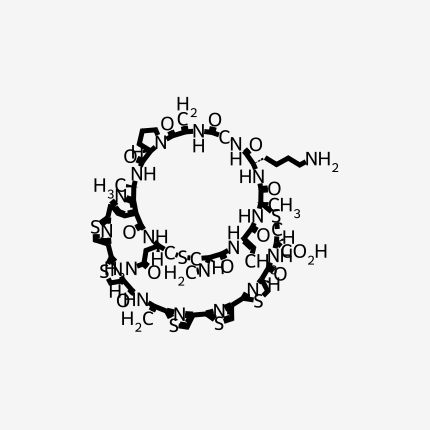 C=N[C@H]1CSC[C@H](CC(N)=O)NC(=O)c2ccc3nc2[C@@H](C)NC(=O)[C@@H]2CCCN2C(=O)C(=C)NC(=O)CNC(=O)[C@H](CCCCN)NC(=O)[C@@](C)(NC(=O)/C(=C/C)NC1=O)SC[C@@H](C(=O)O)NC(=O)[C@H]1CSC(=N1)c1csc(n1)-c1csc(n1)C(=C)NC(=O)[C@@H]1CSC(=N1)c1csc-3n1